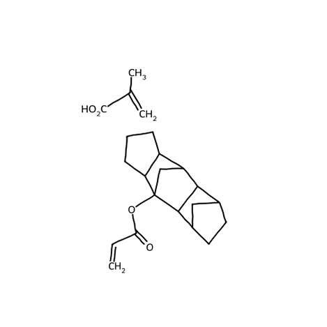 C=C(C)C(=O)O.C=CC(=O)OC12CC(C3CCCC31)C1C3CCC(C3)C12